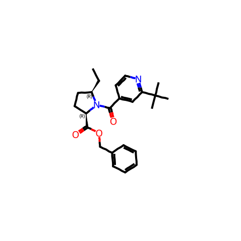 CC[C@@H]1CC[C@H](C(=O)OCc2ccccc2)N1C(=O)c1ccnc(C(C)(C)C)c1